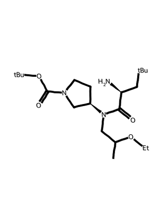 CCOC(C)CN(C(=O)[C@@H](N)CC(C)(C)C)[C@@H]1CCN(C(=O)OC(C)(C)C)C1